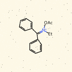 CC[N+](OC(C)=O)=C(c1ccccc1)c1ccccc1